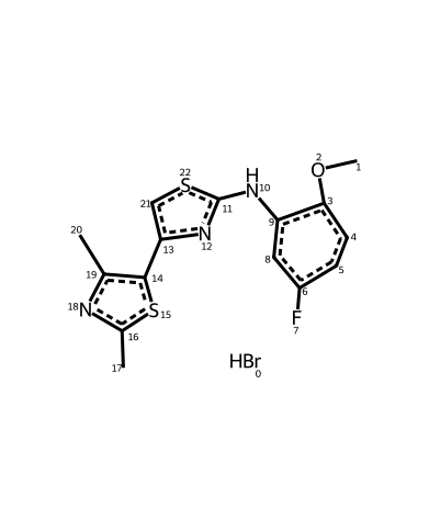 Br.COc1ccc(F)cc1Nc1nc(-c2sc(C)nc2C)cs1